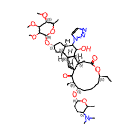 CC[C@H]1CCC[C@H](O[C@H]2CC[C@H](N(C)C)C(C)O2)[C@@H](C)C(=O)C2=C[C@H]3[C@@H]4C[C@H](O[C@@H]5OC(C)[C@H](OC)C(OC)C5OC)C[C@H]4C(n4ccnn4)C(O)[C@H]3[C@@H]2CC(=O)O1